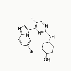 Cc1cnc(N[C@H]2CC[C@H](O)CC2)nc1-c1cnc2ccc(Br)cn12